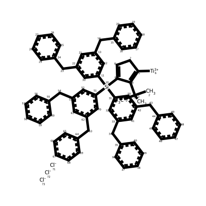 CC(C)(C)C1=[C]([Ti+3])CC=C1[Si](c1cc(Cc2ccccc2)cc(Cc2ccccc2)c1)(c1cc(Cc2ccccc2)cc(Cc2ccccc2)c1)c1cc(Cc2ccccc2)cc(Cc2ccccc2)c1.[Cl-].[Cl-].[Cl-]